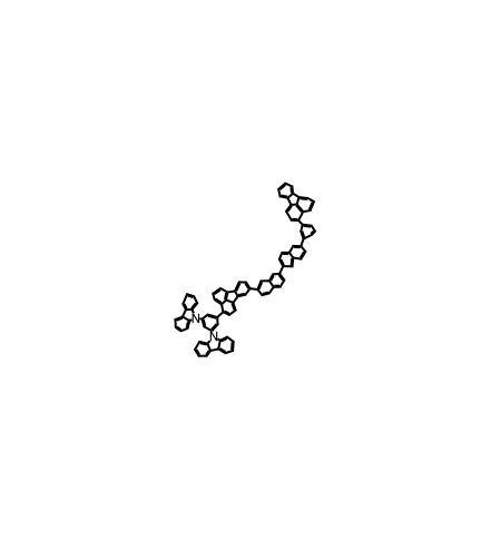 c1cc(-c2ccc3cc(-c4ccc5ccc(-c6ccc7c(c6)-c6ccc(-c8cc(-n9c%10ccccc%10c%10ccccc%109)cc(-n9c%10ccccc%10c%10ccccc%109)c8)c8cccc-7c68)cc5c4)ccc3c2)cc(-c2ccc3c4c(cccc24)-c2ccccc2-3)c1